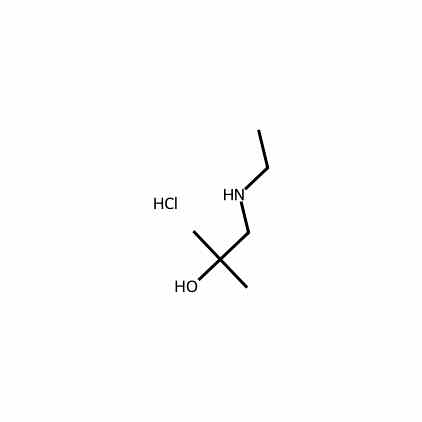 CCNCC(C)(C)O.Cl